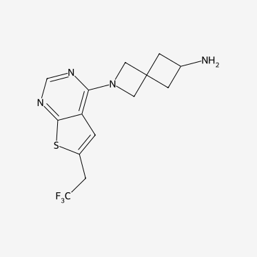 NC1CC2(C1)CN(c1ncnc3sc(CC(F)(F)F)cc13)C2